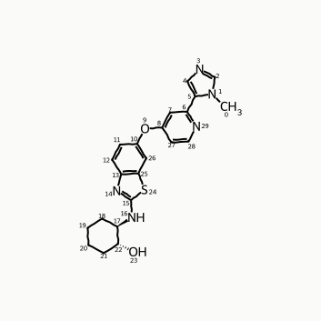 Cn1cncc1-c1cc(Oc2ccc3nc(N[C@@H]4CCCC[C@H]4O)sc3c2)ccn1